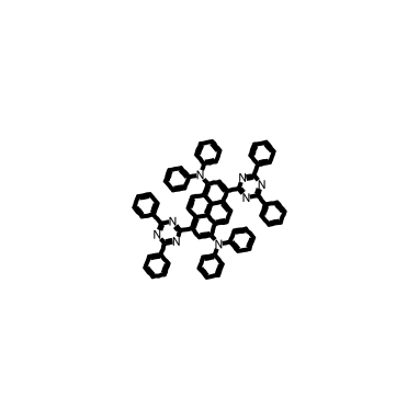 c1ccc(-c2nc(-c3ccccc3)nc(-c3cc(N(c4ccccc4)c4ccccc4)c4ccc5c(-c6nc(-c7ccccc7)nc(-c7ccccc7)n6)cc(N(c6ccccc6)c6ccccc6)c6ccc3c4c56)n2)cc1